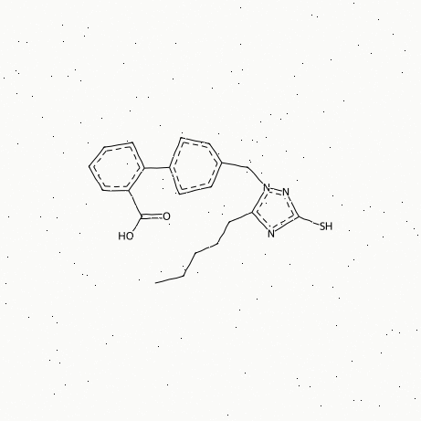 CCCCCc1nc(S)nn1Cc1ccc(-c2ccccc2C(=O)O)cc1